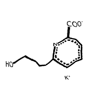 O=C([O-])c1cccc(CCO)n1.[K+]